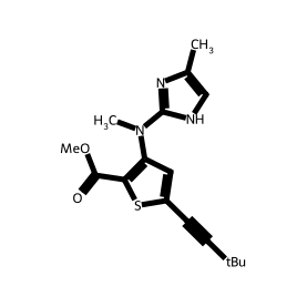 COC(=O)c1sc(C#CC(C)(C)C)cc1N(C)c1nc(C)c[nH]1